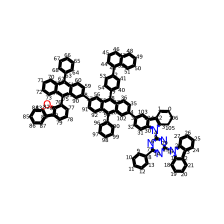 C1=Cc2c(n(-c3nc(-c4ccccc4)nc(-n4c5ccccc5c5ccccc54)n3)c3ccc(-c4ccc5c(-c6ccc(-c7cccc8ccccc78)cc6)c6cc(-c7ccc8c(-c9ccccc9)c9ccccc9c(-c9cccc%10c9oc9ccccc9%10)c8c7)ccc6c(-c6ccccc6)c5c4)cc23)CC1